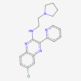 Clc1ccc2nc(NCCN3CCCC3)c(-c3ccccn3)nc2c1